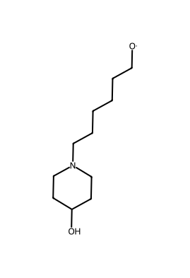 [O]CCCCCCN1CCC(O)CC1